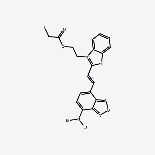 CCN(CC)c1ccc(/C=C/c2sc3ccccc3[n+]2CCOC(=O)CI)c2nonc12